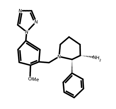 COc1ccc(-n2cncn2)cc1CN1CCC[C@H](N)[C@@H]1c1ccccc1